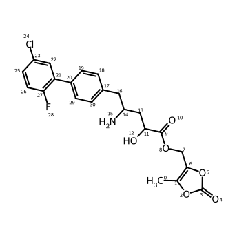 Cc1oc(=O)oc1COC(=O)C(O)CC(N)Cc1ccc(-c2cc(Cl)ccc2F)cc1